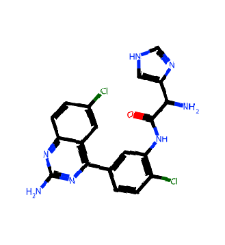 Nc1nc(-c2ccc(Cl)c(NC(=O)C(N)c3c[nH]cn3)c2)c2cc(Cl)ccc2n1